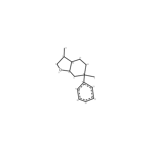 CC1COC2CC(C)(c3ccccc3)CCC12